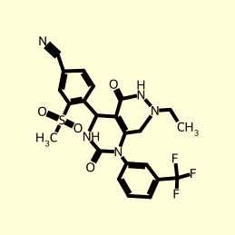 CCN1CC2=C(C(=O)N1)C(c1ccc(C#N)cc1S(C)(=O)=O)NC(=O)N2c1cccc(C(F)(F)F)c1